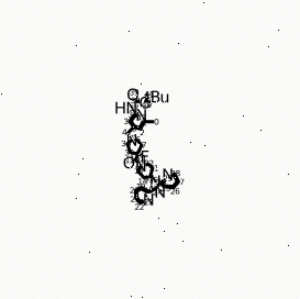 Cc1cc(CN2CCC(F)(C(=O)N3CCC(n4c(-c5ccccn5)nc5cccnc54)CC3)CC2)cc(NC(=O)OC(C)(C)C)n1